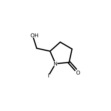 O=C1CCC(CO)N1I